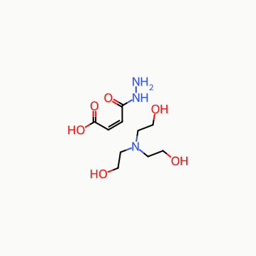 NNC(=O)/C=C\C(=O)O.OCCN(CCO)CCO